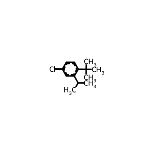 CC(C)c1cc(Cl)ccc1C(C)(C)C